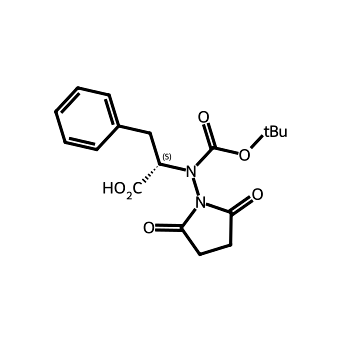 CC(C)(C)OC(=O)N([C@@H](Cc1ccccc1)C(=O)O)N1C(=O)CCC1=O